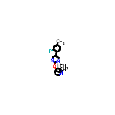 Cc1ccc(-c2cnc(O[C@@H]3C4CCN(CC4)[C@H]3C)nc2)c(F)c1